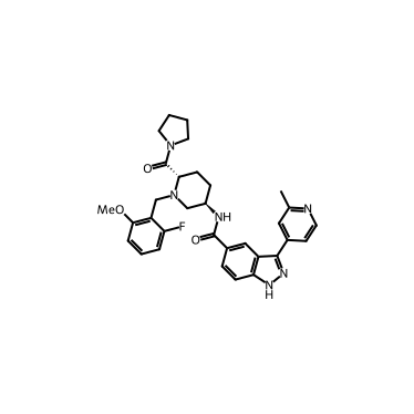 COc1cccc(F)c1CN1C[C@H](NC(=O)c2ccc3[nH]nc(-c4ccnc(C)c4)c3c2)CC[C@H]1C(=O)N1CCCC1